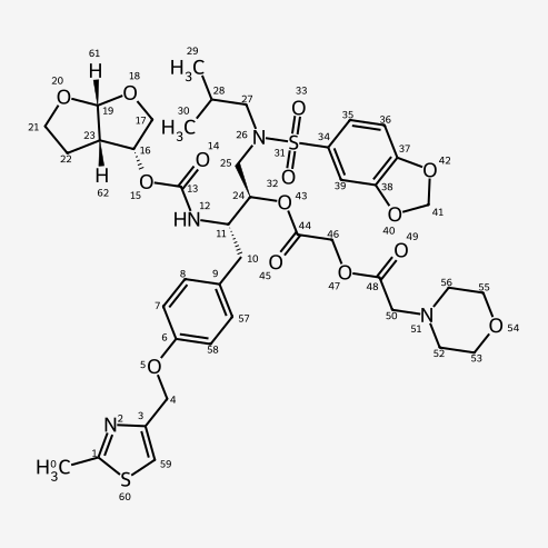 Cc1nc(COc2ccc(C[C@H](NC(=O)O[C@H]3CO[C@H]4OCC[C@H]43)[C@@H](CN(CC(C)C)S(=O)(=O)c3ccc4c(c3)OCO4)OC(=O)COC(=O)CN3CCOCC3)cc2)cs1